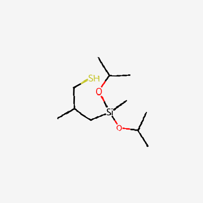 CC(CS)C[Si](C)(OC(C)C)OC(C)C